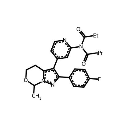 CCC(=O)N(C(=O)C(C)C)c1cc(-c2c(-c3ccc(F)cc3)nn3c2CCOC3C)ccn1